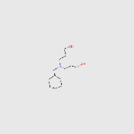 OCCCN(CCCO)CC1CCCCC1